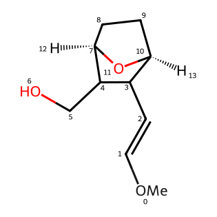 COC=CC1C(CO)[C@H]2CC[C@@H]1O2